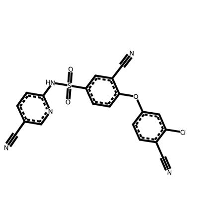 N#Cc1ccc(NS(=O)(=O)c2ccc(Oc3ccc(C#N)c(Cl)c3)c(C#N)c2)nc1